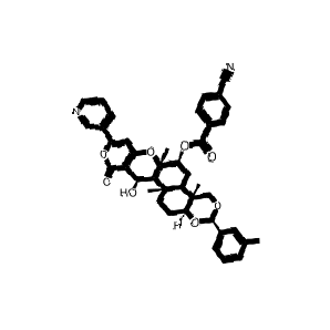 Cc1cccc([C@@H]2OC[C@@]3(C)C4C[C@H](OC(=O)c5ccc(C#N)cc5)[C@@]5(C)Oc6cc(-c7cccnc7)oc(=O)c6[C@H](O)C5[C@@]4(C)CC[C@@H]3O2)c1